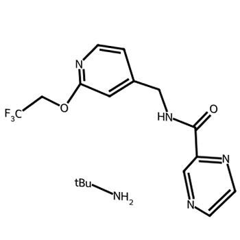 CC(C)(C)N.O=C(NCc1ccnc(OCC(F)(F)F)c1)c1cnccn1